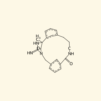 CC12NC(=N)N(Cc3cccc(c3)C(=O)NCCCc3cccc1c3)C2=O